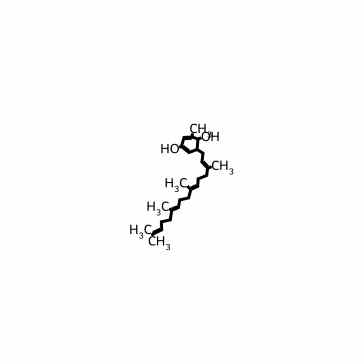 CC(C)=CCC/C(C)=C/CC/C(C)=C/CC/C(C)=C/CC1C=C(O)C=C(C)C1O